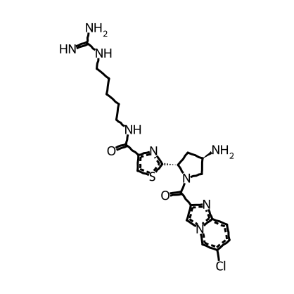 N=C(N)NCCCCCNC(=O)c1csc([C@@H]2C[C@@H](N)CN2C(=O)c2cn3cc(Cl)ccc3n2)n1